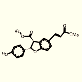 COC(=O)/C=C/c1ccc2c(c1)[C@H](C(=O)OC(C)C)[C@@H](c1ccc(O)cc1)O2